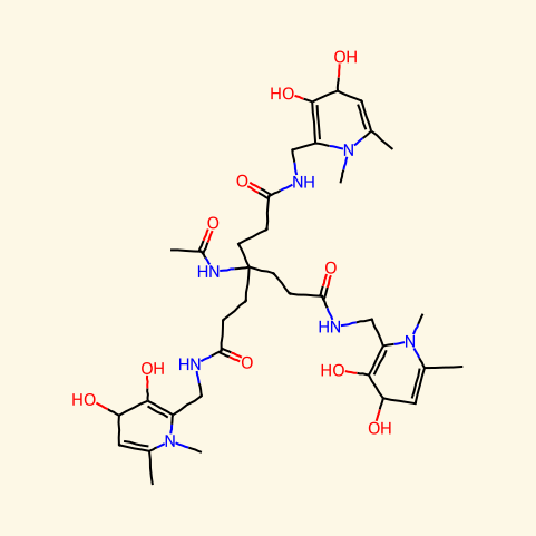 CC(=O)NC(CCC(=O)NCC1=C(O)C(O)C=C(C)N1C)(CCC(=O)NCC1=C(O)C(O)C=C(C)N1C)CCC(=O)NCC1=C(O)C(O)C=C(C)N1C